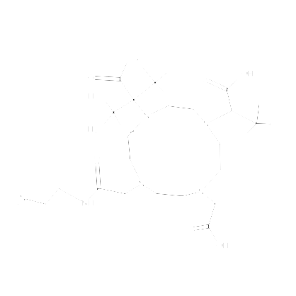 CC(C)(C)C(C(=O)O)N1CCN(CC(=O)O)CCN(CC(=O)NCCN)CCN(C(C(=O)O)(C(C)(C)C)C(C)(C)C)CC1